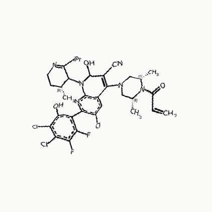 C=CC(=O)N1[C@H](C)CN(C2=C(C#N)C(O)N(C3C(C(C)C)=NCC[C@H]3C)c3nc(-c4c(O)c(Cl)c(Cl)c(F)c4F)c(Cl)cc32)C[C@@H]1C